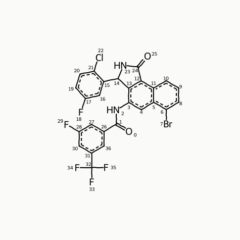 O=C(Nc1cc2c(Br)cccc2c2c1C(c1cc(F)ccc1Cl)NC2=O)c1cc(F)cc(C(F)(F)F)c1